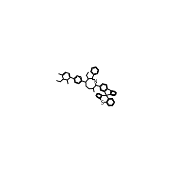 CCC1C(C)=CC=C(c2ccc(C3CCC(C)C(c4ccc5c(c4)C4(c6ccccc6Sc6ccccc64)c4ccccc4-5)/N=C(/c4ccccc4)C3CC)cc2)C1C